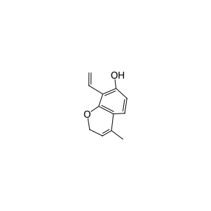 C=Cc1c(O)ccc2c1OCC=C2C